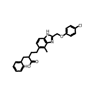 Cc1c(CCC(Cc2ccccc2)C(=O)O)ccc2[nH]c(COc3ccc(Cl)cc3)nc12